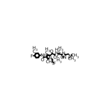 Cc1cc(NC(=O)c2c(C)c(C(=O)C(=O)NC(C)(C)c3nc(CN(C)C)no3)n(CCF)c2C)ccc1F